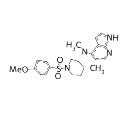 COc1ccc(S(=O)(=O)N2CC[C@@H](C)[C@@H](N(C)c3ccnc4[nH]ccc34)C2)cc1